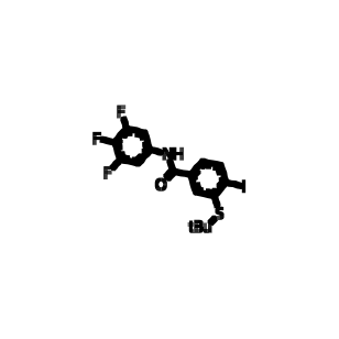 CC(C)(C)Sc1cc(C(=O)Nc2cc(F)c(F)c(F)c2)ccc1I